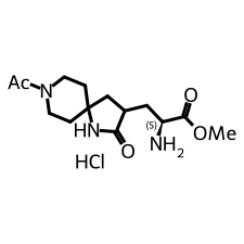 COC(=O)[C@@H](N)CC1CC2(CCN(C(C)=O)CC2)NC1=O.Cl